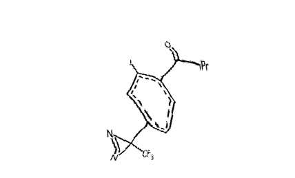 CC(C)C(=O)c1ccc(C2(C(F)(F)F)N=N2)cc1I